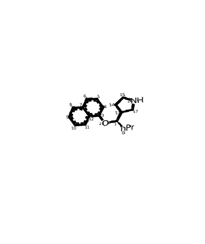 CCC[C@@H](Oc1cccc2ccccc12)C1CCNC1